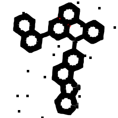 c1ccc(-c2ccccc2N(c2cccc(-c3cccc4ccccc34)c2)c2ccc3c(ccc4c5cccnc5oc34)c2)cc1